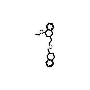 CCOC1CC(CCOCC2CCc3ccccc3C2)Cc2ccccc21